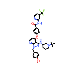 COc1ccc(Cn2nc(NC3CCCN(C(C)(C)C)C3)c3c(Oc4ccc(C(=O)Nc5cc(C(F)(F)F)ccn5)cc4)ccnc32)cc1